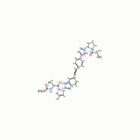 COC(=O)N[C@H](C(=O)N1CC(C)=C[C@H]1c1nc2ccc(C#Cc3ccc(-c4cnc([C@@H]5CCCN5C(=O)[C@@H](C)C(C)C)[nH]4)cc3)cc2[nH]1)C(C)C